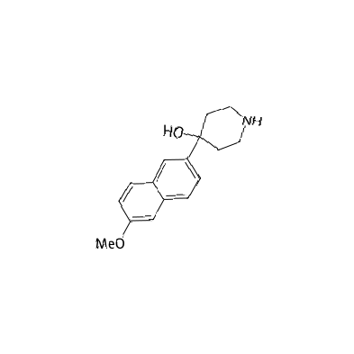 COc1ccc2cc(C3(O)CCNCC3)ccc2c1